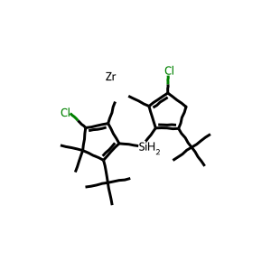 CC1=C(Cl)CC(C(C)(C)C)=C1[SiH2]C1=C(C(C)(C)C)C(C)(C)C(Cl)=C1C.[Zr]